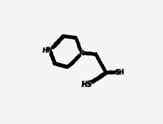 SC(S)CN1CCNCC1